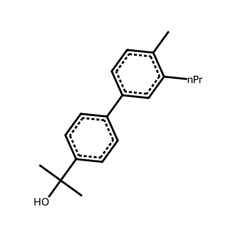 CCCc1cc(-c2ccc(C(C)(C)O)cc2)ccc1C